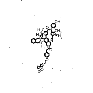 Cc1c(N(C(=O)c2cc(-c3cc4c(cc3C(=O)N3Cc5ccccc5C[C@H]3C)CN(C(=O)Cc3ccc(OCCN5CC6(CCS6(=O)=O)C5)cc3)CC4)n(C)c2C)c2ccc(O)cc2)cc(C#N)n1C